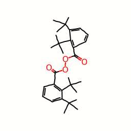 CC(C)(C)c1cccc(C(=O)OOC(=O)c2cccc(C(C)(C)C)c2C(C)(C)C)c1C(C)(C)C